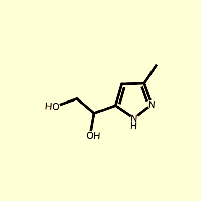 Cc1cc(C(O)CO)[nH]n1